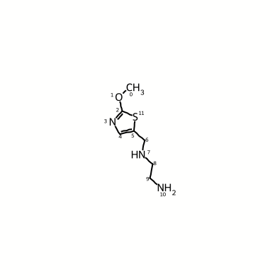 COc1ncc(CNCCN)s1